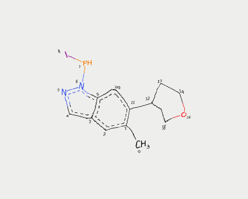 Cc1cc2cnn(PI)c2cc1C1CCOC1